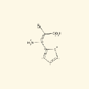 CCC(C(=O)O)=C(N)c1cccs1